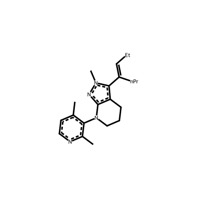 CC/C=C(\CCC)c1c2c(nn1C)N(c1c(C)ccnc1C)CCC2